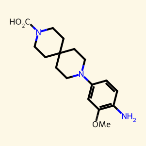 COc1cc(N2CCC3(CCN(C(=O)O)CC3)CC2)ccc1N